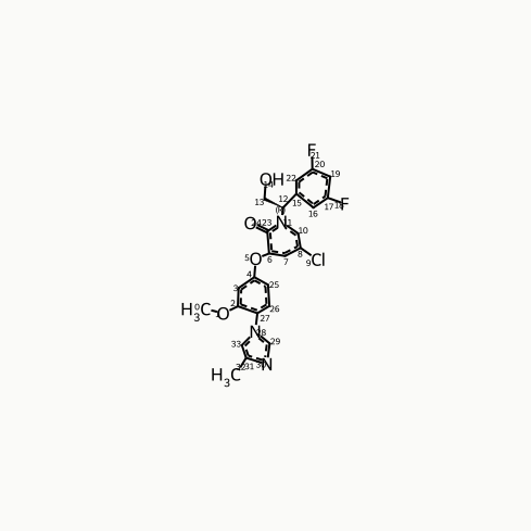 COc1cc(Oc2cc(Cl)cn([C@@H](CO)c3cc(F)cc(F)c3)c2=O)ccc1-n1cnc(C)c1